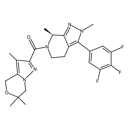 Cc1c(C(=O)N2CCc3c(nn(C)c3-c3cc(F)c(F)c(F)c3)[C@@H]2C)nn2c1COC(C)(C)C2